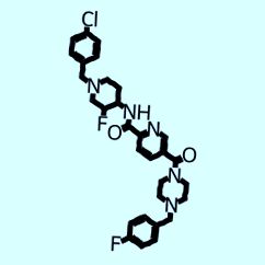 O=C(NC1CCN(Cc2ccc(Cl)cc2)CC1F)c1ccc(C(=O)N2CCN(Cc3ccc(F)cc3)CC2)cn1